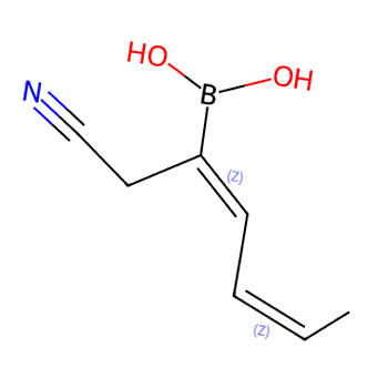 C/C=C\C=C(/CC#N)B(O)O